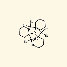 CCC(CC)(CC)[C]1([Cr]([C]2(C(CC)(CC)CC)CCCCC2)[C]2(C(CC)(CC)CC)CCCCC2)CCCCC1